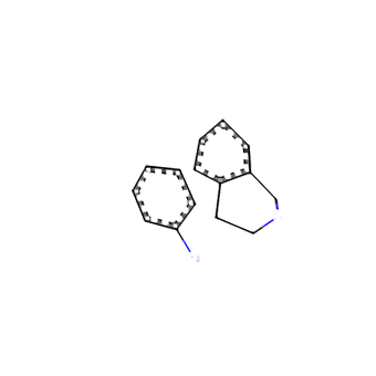 Nc1ccccc1.c1ccc2c(c1)CCNC2